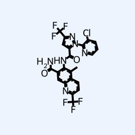 Cc1c(NC(=O)c2cc(C(F)(F)F)nn2-c2ncccc2Cl)c(C(N)=O)cc2nc(C(F)(F)F)ccc12